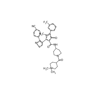 Cn1c(-c2ccnn2-c2ccc(C#N)cc2)c(C(=O)NC2CCN(C(=O)C3CC[N+](C)(C)CC3)CC2)c(=O)n1-c1cccc(C(F)(F)F)c1